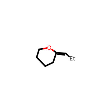 CCC=C1CCCCO1